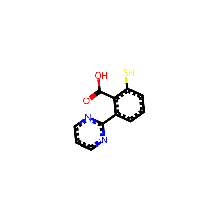 O=C(O)c1c(S)cccc1-c1ncccn1